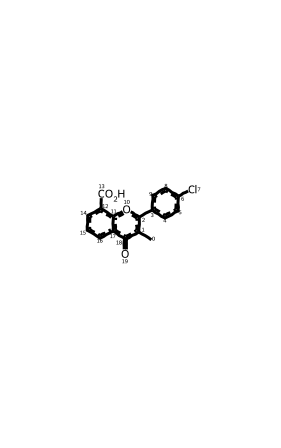 Cc1c(-c2ccc(Cl)cc2)oc2c(C(=O)O)cccc2c1=O